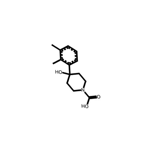 Cc1cccc(C2(O)CCN(C(=O)O)CC2)c1C